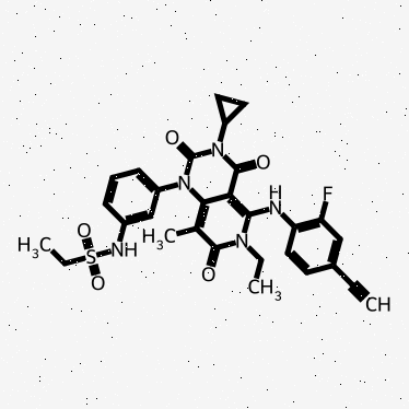 C#Cc1ccc(Nc2c3c(=O)n(C4CC4)c(=O)n(-c4cccc(NS(=O)(=O)CC)c4)c3c(C)c(=O)n2CC)c(F)c1